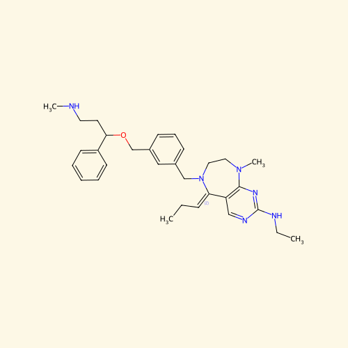 CC/C=C1/c2cnc(NCC)nc2N(C)CCN1Cc1cccc(COC(CCNC)c2ccccc2)c1